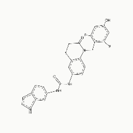 O=C(Nc1ccc2c(c1)SCC(=O)N2Cc1c(F)cc(O)cc1F)Nc1ccc2cc[nH]c2c1